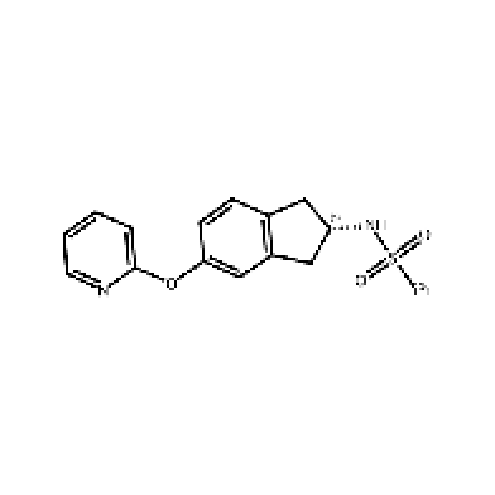 CC(C)S(=O)(=O)N[C@H]1Cc2ccc(Oc3ccccn3)cc2C1